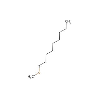 CCCCCCCC[CH]SC